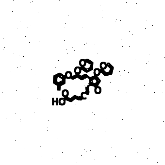 Cc1cccc(OCC(/C=C/[C@H]2C(OC3CCCCO3)CC(=O)[C@@H]2CC=C=CCCC(=O)O)OC2CCCCO2)c1